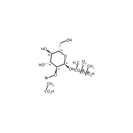 CC(=O)O.CC(=O)O.CC(=O)O.CC(=O)O.OC[C@@H]1O[C@@H](O)[C@@H](OBr)[C@H](O)[C@H]1O